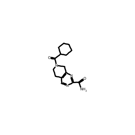 NC(=O)c1n[c]c2c(n1)CN(C(=O)C1CCCCC1)CC2